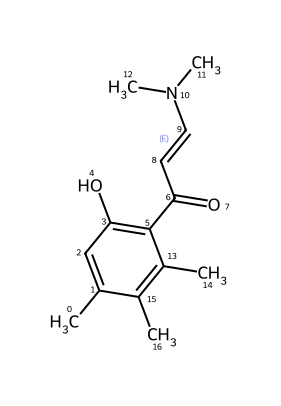 Cc1cc(O)c(C(=O)/C=C/N(C)C)c(C)c1C